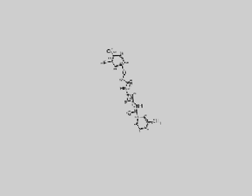 Cc1cccc(C(=O)NC23CC(NC(=O)COc4ccc(Cl)c(F)c4)(C2)C3)c1